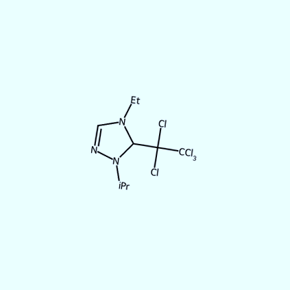 CCN1C=NN(C(C)C)C1C(Cl)(Cl)C(Cl)(Cl)Cl